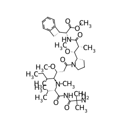 CC[C@H](C)[C@@H]([C@@H](CC(=O)N1CCC[C@H]1[C@H](OC)[C@@H](C)C(=O)N[C@@H](C(=O)OC)[C@@H]1Cc2ccccc21)OC)N(C)[C@H](C(=O)NC(=O)C(C)(C)N)C(C)C